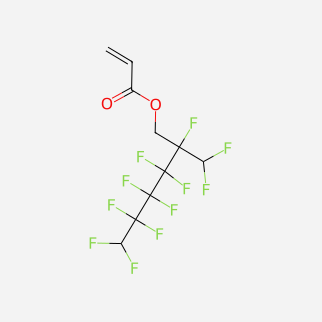 C=CC(=O)OCC(F)(C(F)F)C(F)(F)C(F)(F)C(F)(F)C(F)F